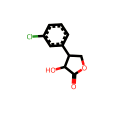 O=C1OCC(c2cccc(Cl)c2)C1O